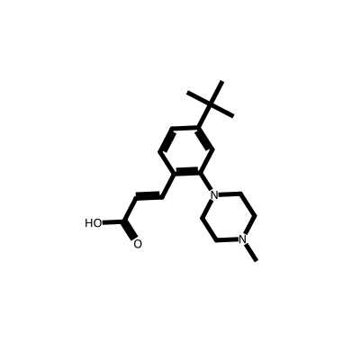 CN1CCN(c2cc(C(C)(C)C)ccc2/C=C/C(=O)O)CC1